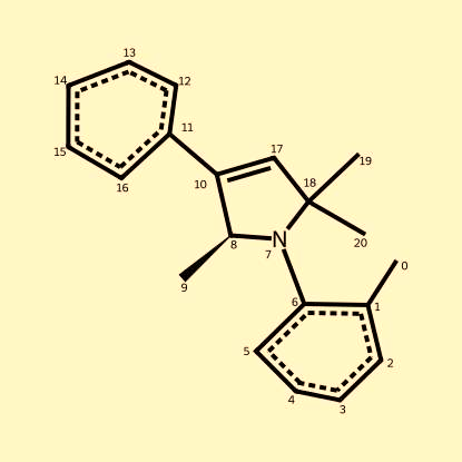 Cc1ccccc1N1[C@@H](C)C(c2ccccc2)=CC1(C)C